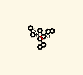 c1ccc(N(c2ccc(-c3cccc4ccccc34)cc2)c2cccc3c2sc2ccccc23)c(-c2cccc3oc4c5ccccc5ccc4c23)c1